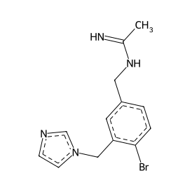 CC(=N)NCc1ccc(Br)c(Cn2ccnc2)c1